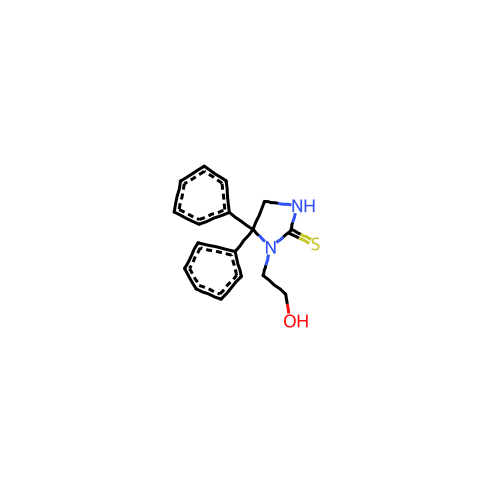 OCCN1C(=S)NCC1(c1ccccc1)c1ccccc1